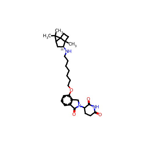 CC1(C)C2C[C@H](NCCCCCCCOc3cccc4c3CN(C3CCC(=O)NC3=O)C4=O)C3(C)CCC213